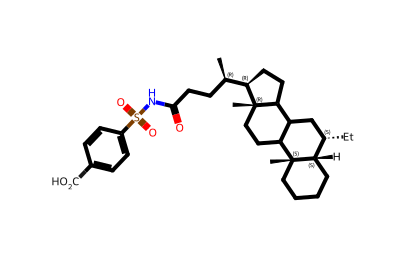 CC[C@H]1CC2C3CC[C@H]([C@H](C)CCC(=O)NS(=O)(=O)c4ccc(C(=O)O)cc4)[C@@]3(C)CCC2[C@@]2(C)CCCC[C@@H]12